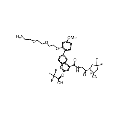 COc1ccc(-c2ccc3nccc(C(=O)NCC(=O)N4CC(F)(F)C[C@H]4C#N)c3c2)c(OCCOCCOCCN)c1.O=C(O)C(F)(F)F